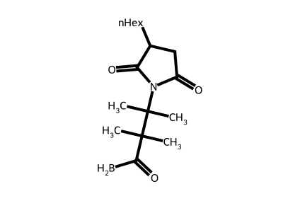 BC(=O)C(C)(C)C(C)(C)N1C(=O)CC(CCCCCC)C1=O